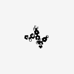 COc1ccc([C@@H]2CN(C(C)(C)C)C[C@@]2(F)C(=O)N2CCC(c3ccc(C(F)(F)F)cc3N3CCC(C(=O)N4CCCC4)CC3)CC2)cc1